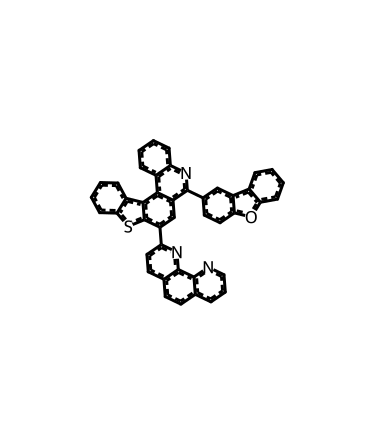 c1cnc2c(c1)ccc1ccc(-c3cc4c(-c5ccc6oc7ccccc7c6c5)nc5ccccc5c4c4c3sc3ccccc34)nc12